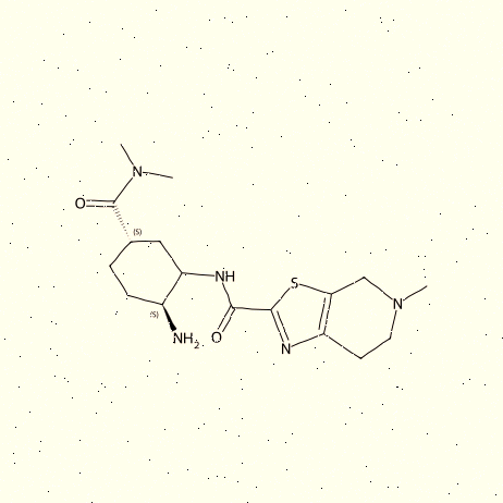 CN1CCc2nc(C(=O)NC3C[C@@H](C(=O)N(C)C)CC[C@@H]3N)sc2C1